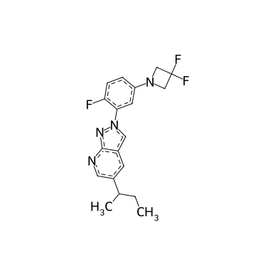 CCC(C)c1cnc2nn(-c3cc(N4CC(F)(F)C4)ccc3F)cc2c1